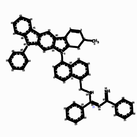 CC1C=Cc2c(n(-c3cccc4c(CN/C(=N\C(=N)c5ccccc5)c5ccccc5)cccc34)c3cc4c(cc23)c2ccccc2n4-c2ccccc2)C1